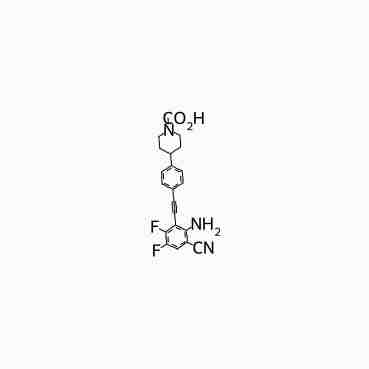 N#Cc1cc(F)c(F)c(C#Cc2ccc(C3CCN(C(=O)O)CC3)cc2)c1N